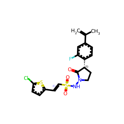 C=C(C)c1ccc([C@@H]2CCN(NS(=O)(=O)/C=C/c3ccc(Cl)s3)C2=O)c(F)c1